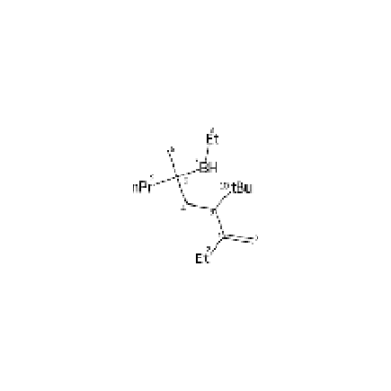 C=C(CC)C(CC(C)(BCC)CCC)C(C)(C)C